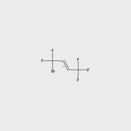 FC(F)(F)/C=C/C(F)(F)Br